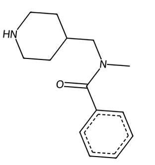 CN(CC1CCNCC1)C(=O)c1ccccc1